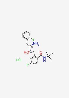 CC(C)(C)NC(=O)c1ccc(F)cc1C[C@H](O)[C@H](N)Cc1ccccc1F.Cl